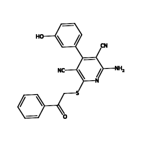 N#Cc1c(N)nc(SCC(=O)c2ccccc2)c(C#N)c1-c1cccc(O)c1